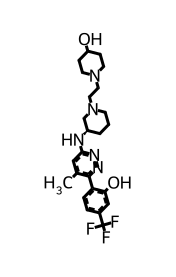 Cc1cc(N[C@@H]2CCCN(CCN3CCC(O)CC3)C2)nnc1-c1ccc(C(F)(F)F)cc1O